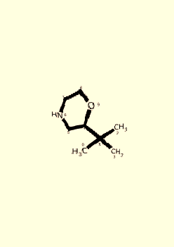 CC(C)(C)C1CNCCO1